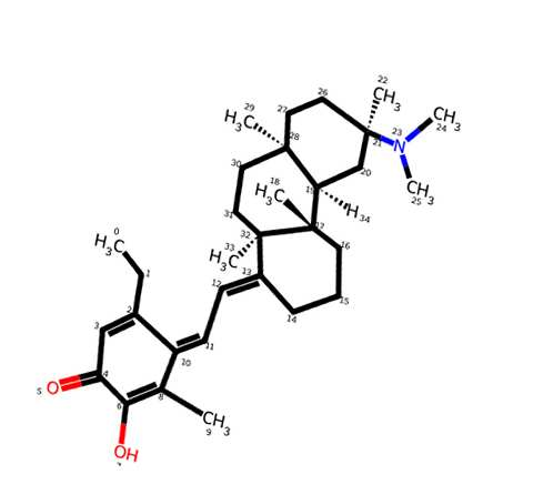 CCC1=CC(=O)C(O)=C(C)/C1=C/C=C1\CCC[C@@]2(C)[C@@H]3C[C@](C)(N(C)C)CC[C@]3(C)CC[C@]12C